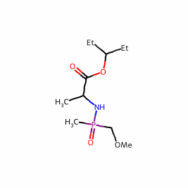 CCC(CC)OC(=O)C(C)NP(C)(=O)COC